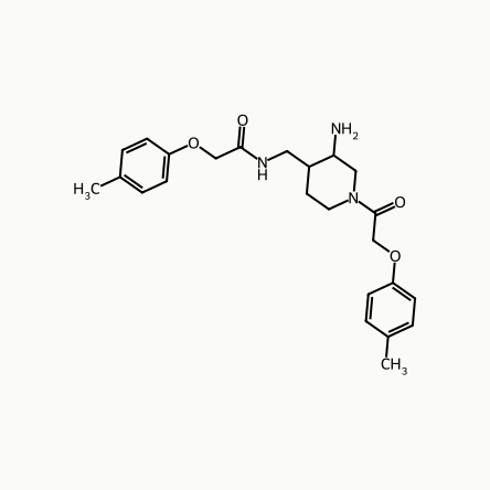 Cc1ccc(OCC(=O)NCC2CCN(C(=O)COc3ccc(C)cc3)CC2N)cc1